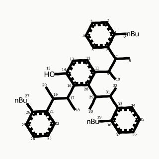 CCCCc1ccccc1C(C)C(C)c1ccc(O)c(C(C)C(C)c2ccccc2CCCC)c1C(C)C(C)c1ccccc1CCCC